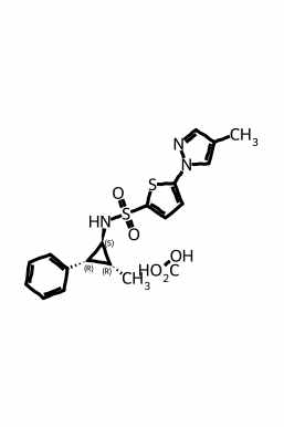 Cc1cnn(-c2ccc(S(=O)(=O)N[C@H]3[C@H](C)[C@@H]3c3ccccc3)s2)c1.O=C(O)O